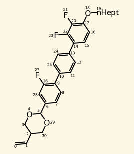 C=CC1COC(c2ccc(-c3ccc(-c4ccc(OCCCCCCC)c(F)c4F)cc3)c(F)c2)OC1